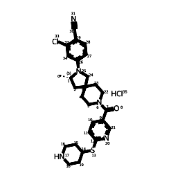 C[C@H]1CC2(CCN(C(=O)c3ccc(SC4CCNCC4)nc3)CC2)CN1c1ccc(C#N)c(Cl)c1.Cl